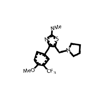 CNc1nc(-c2ccc(OC)c(C(F)(F)F)c2)c(CN2CCCC2)s1